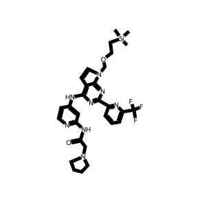 C[Si](C)(C)CCOCn1ccc2c(Nc3ccnc(NC(=O)CN4CCCC4)c3)nc(-c3cccc(C(F)(F)F)n3)nc21